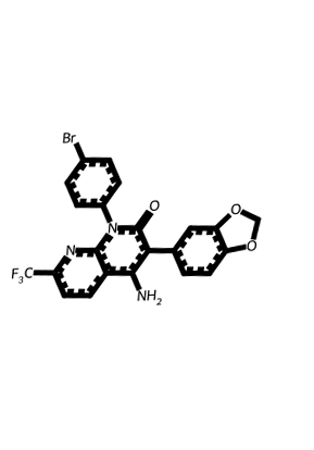 Nc1c(-c2ccc3c(c2)OCO3)c(=O)n(-c2ccc(Br)cc2)c2nc(C(F)(F)F)ccc12